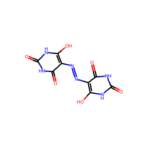 O=c1[nH]c(O)c(/N=N/c2c(O)[nH]c(=O)[nH]c2=O)c(=O)[nH]1